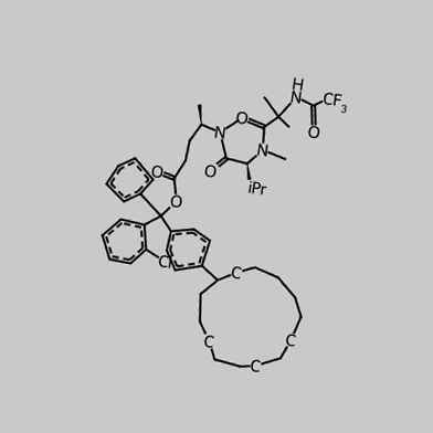 CC(C)[C@@H](C(=O)N(C)[C@H](C)CCC(=O)OC(c1ccccc1)(c1ccc(C2CCCCCCCCCCCCC2)cc1)c1ccccc1Cl)N(C)C(=O)C(C)(C)NC(=O)C(F)(F)F